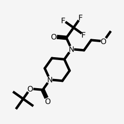 COCCN(C(=O)C(F)(F)F)C1CCN(C(=O)OC(C)(C)C)CC1